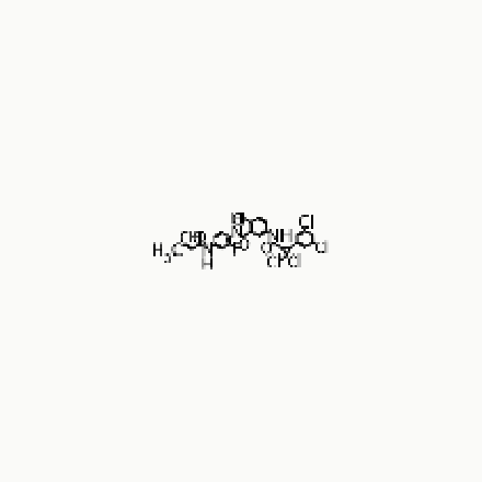 CC(C)=CC(=O)Nc1ccc(NC(=O)c2cc(NC(=O)C3C(c4cc(Cl)cc(Cl)c4)C3(Cl)Cl)ccc2Cl)c(F)c1